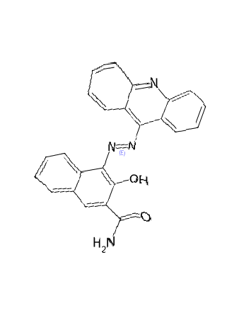 NC(=O)c1cc2ccccc2c(/N=N/c2c3ccccc3nc3ccccc23)c1O